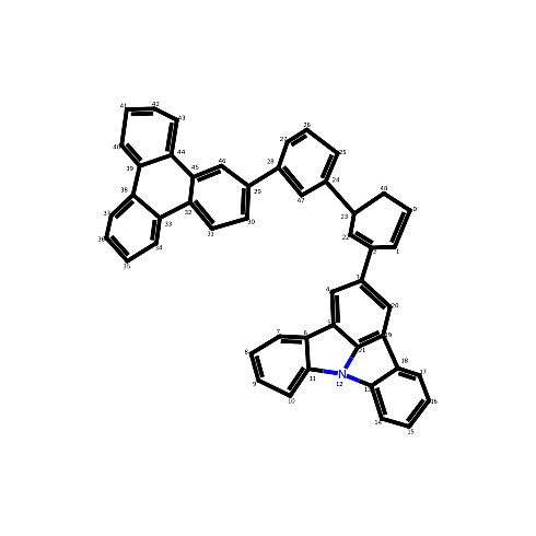 C1=CC(c2cc3c4ccccc4n4c5ccccc5c(c2)c34)=CC(c2cccc(-c3ccc4c5ccccc5c5ccccc5c4c3)c2)C1